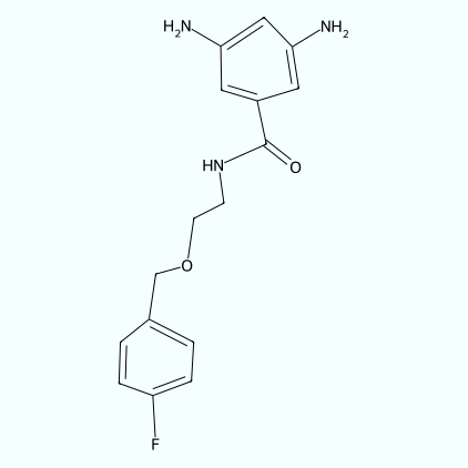 Nc1cc(N)cc(C(=O)NCCOCc2ccc(F)cc2)c1